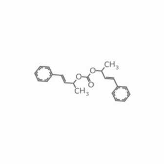 CC(C=Cc1ccccc1)OC(=O)OC(C)C=Cc1ccccc1